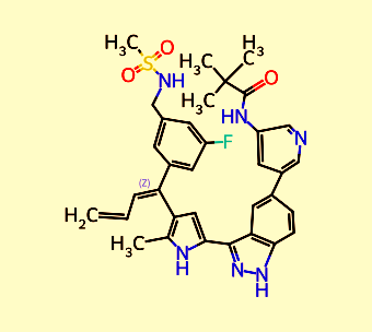 C=C/C=C(/c1cc(F)cc(CNS(C)(=O)=O)c1)c1cc(-c2n[nH]c3ccc(-c4cncc(NC(=O)C(C)(C)C)c4)cc23)[nH]c1C